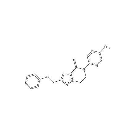 Cc1cnc(N2CCn3nc(COc4ccccc4)cc3C2=O)cn1